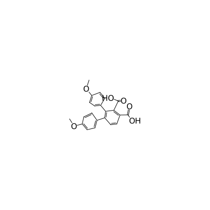 COc1ccc(-c2ccc(C(=O)O)c(C(=O)O)c2-c2ccc(OC)cc2)cc1